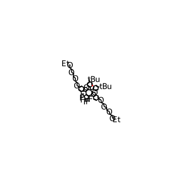 CCOCCOCCOCCOc1ccc2c3c(oc2c1)C(c1ccc(C(C)(C)C)cc1)(c1ccc(C(C)(C)C)cc1)c1oc2cc(OCCOCCOCCOCC)ccc2c1C1=C3C(F)(F)C(F)(F)C1(F)F